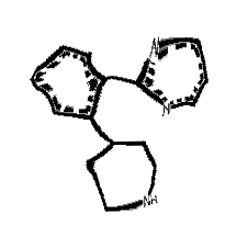 c1cnc(-c2ccccc2C2CCNCC2)nc1